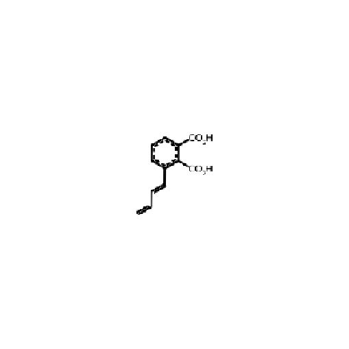 C=CC=Cc1cccc(C(=O)O)c1C(=O)O